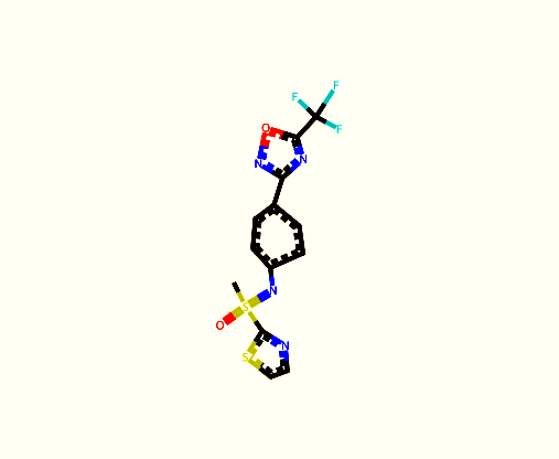 CS(=O)(=Nc1ccc(-c2noc(C(F)(F)F)n2)cc1)c1nccs1